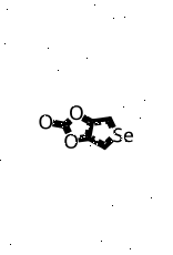 O=c1oc2c[se]cc2o1